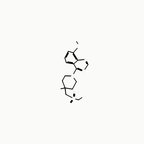 CCS(=N)(=O)CC1(O)CCN(c2ncnc3c(OC)cccc23)CC1